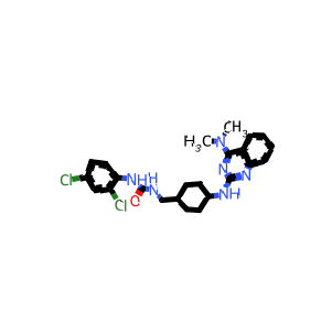 CN(C)c1nc(NC2CCC(CNC(=O)Nc3ccc(Cl)cc3Cl)CC2)nc2ccccc12